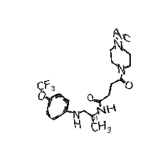 CC(=O)N1CCN(C(=O)CCC(=O)N[C@@H](C)CNc2ccc(OC(F)(F)F)cc2)CC1